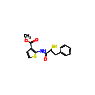 COC(=O)c1ccsc1NC(=O)C(S)Cc1ccccc1